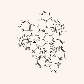 N#Cc1c(-n2c3ccccc3c3ccccc32)c(-n2c3ccccc3c3ccccc32)c(-c2ccc3c(c2)-c2ccccc2C32c3ccccc3-c3ccccc32)c(-n2c3ccccc3c3ccccc32)c1-n1c2ccccc2c2ccccc21